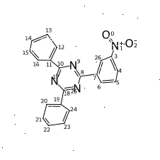 O=[N+]([O-])c1cccc(-c2nc(-c3ccccc3)nc(-c3ccccc3)n2)c1